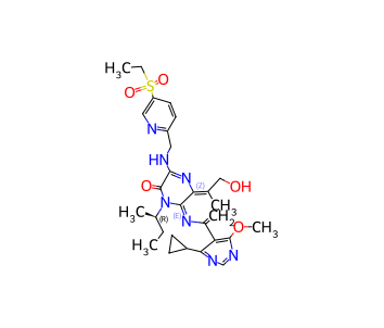 C=C(/N=C1\C(=C(/C)CO)N=C(NCc2ccc(S(=O)(=O)CC)cn2)C(=O)N1[C@H](C)CC)c1c(OC)ncnc1C1CC1